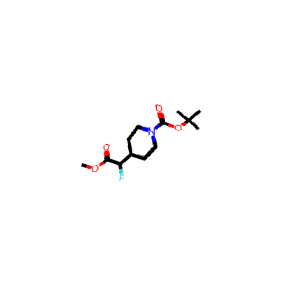 COC(=O)C(F)C1CCN(C(=O)OC(C)(C)C)CC1